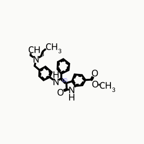 CCCN(CC)Cc1ccc(N/C(=C2\C(=O)Nc3cc(C(=O)OC)ccc32)c2ccccc2)cc1